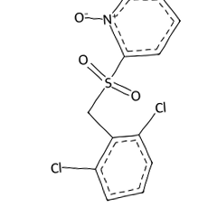 O=S(=O)(Cc1c(Cl)cccc1Cl)c1cccc[n+]1[O-]